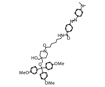 COc1ccc(C(OCC2(CO)CCN(C(=O)CCCCCNC(=O)c3ccc(/N=N/c4ccc(N(C)C)cc4)cc3)CC2)(c2ccc(OC)cc2)c2ccc(OC)cc2)cc1